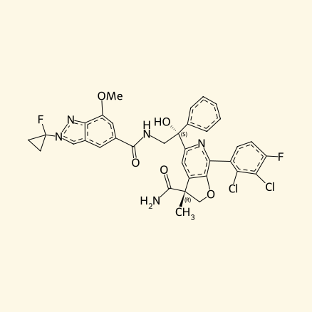 COc1cc(C(=O)NC[C@@](O)(c2ccccc2)c2cc3c(c(-c4ccc(F)c(Cl)c4Cl)n2)OC[C@]3(C)C(N)=O)cc2cn(C3(F)CC3)nc12